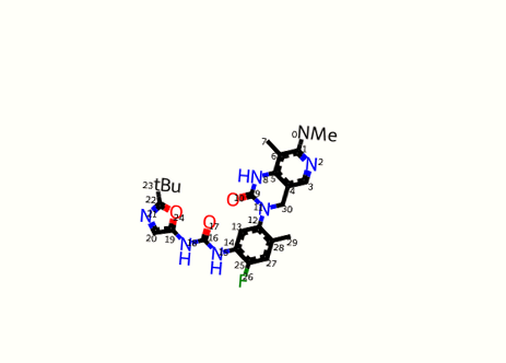 CNc1ncc2c(c1C)NC(=O)N(c1cc(NC(=O)Nc3cnc(C(C)(C)C)o3)c(F)cc1C)C2